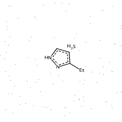 CCc1cc[nH]n1.S